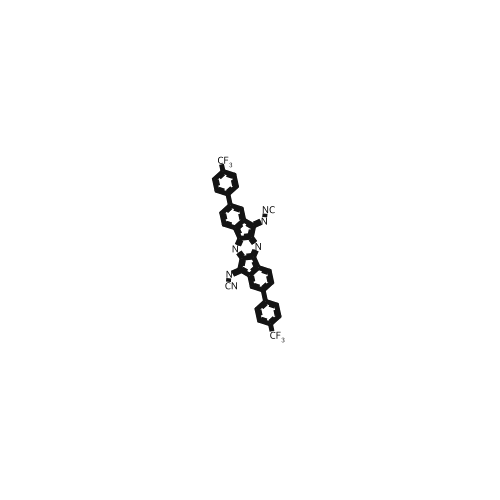 [C-]#[N+]/N=c1\c2cc(-c3ccc(C(F)(F)F)cc3)ccc2c2nc3/c(=N/C#N)c4cc(-c5ccc(C(F)(F)F)cc5)ccc4c3nc12